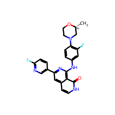 C[C@@H]1CN(c2ccc(Nc3nc(-c4ccc(F)nc4)cc4cc[nH]c(=O)c34)cc2F)CCO1